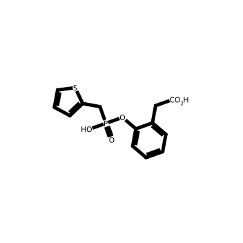 O=C(O)Cc1ccccc1OP(=O)(O)Cc1cccs1